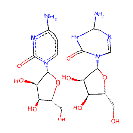 NC1N=CN([C@@H]2O[C@H](CO)[C@@H](O)[C@H]2O)C(=O)N1.Nc1ccn([C@@H]2O[C@H](CO)[C@@H](O)[C@H]2O)c(=O)n1